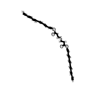 C#CC#CC#CC#CC#CC#COC(=O)CCSCCC(=O)OC#CC#CC#CC#CC#CC#C